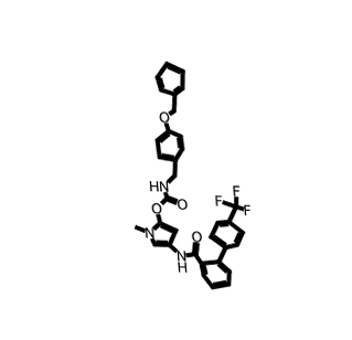 Cn1cc(NC(=O)c2ccccc2-c2ccc(C(F)(F)F)cc2)cc1OC(=O)NCc1ccc(OCc2ccccc2)cc1